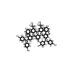 Cc1ccc(N(c2ccc(C)cc2)c2cc(N3c4ccc(C(C)(C)C)cc4B4c5cc(C(C)(C)C)ccc5N(c5ccc(N(c6ccc(C)cc6)c6ccc(C)cc6)c6sc7ccccc7c56)c5cc(C)cc3c54)c3c(c2)sc2ccccc23)cc1